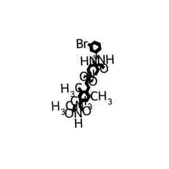 Cc1cc(N2C(=O)NC(=O)C2(C)C)cc(C)c1CCS(=O)(=O)N1CCC2(CC1)N[C@@H](c1cccc(Br)c1)NC2=O